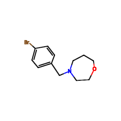 Brc1ccc(CN2CCCOCC2)cc1